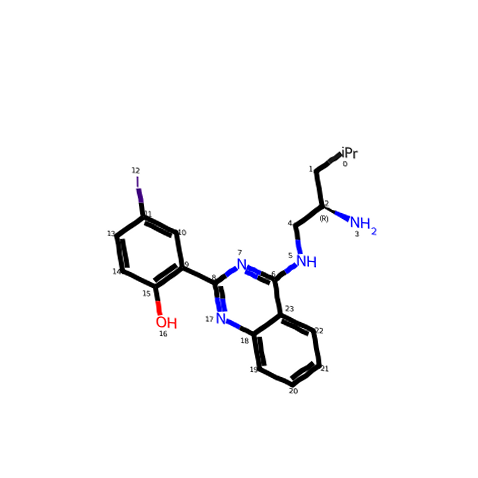 CC(C)C[C@@H](N)CNc1nc(-c2cc(I)ccc2O)nc2ccccc12